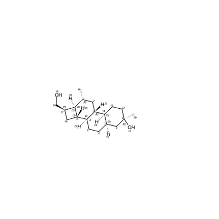 C[C@@H]1C[C@H]2[C@@H](CC[C@@H]3C[C@](C)(O)CC[C@@H]32)[C@@H]2C[C@@H](CO)[C@H]21